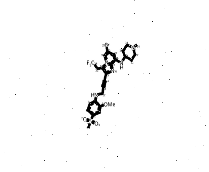 COc1cc(S(C)(=O)=O)ccc1NCC#Cc1nc2c(NC3CCN(C)CC3)cc(Br)cn2c1CC(F)(F)F